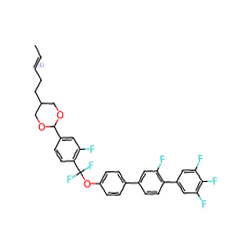 C/C=C/CCC1COC(c2ccc(C(F)(F)Oc3ccc(-c4ccc(-c5cc(F)c(F)c(F)c5)c(F)c4)cc3)c(F)c2)OC1